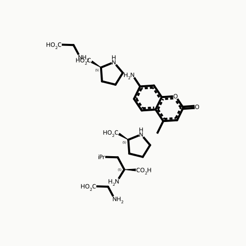 CC(C)C[C@H](N)C(=O)O.Cc1cc(=O)oc2cc(N)ccc12.NCC(=O)O.NCC(=O)O.O=C(O)[C@@H]1CCCN1.O=C(O)[C@@H]1CCCN1